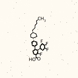 CCCCCC[C@H]1CC[C@H](c2ccc(-c3ccc(C(=O)O)c(F)c3-c3cc(F)c(F)c(F)c3)cc2)CC1